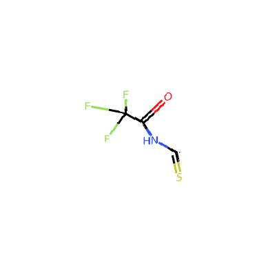 O=C(N[C]=S)C(F)(F)F